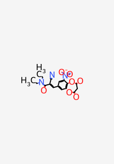 CCN(CC)C(=O)/C(C#N)=C/c1cc2c(c([N+](=O)[O-])c1)OC(=O)CC(=O)O2